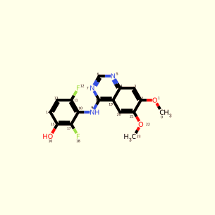 COc1cc2ncnc(Nc3c(F)ccc(O)c3F)c2cc1OC